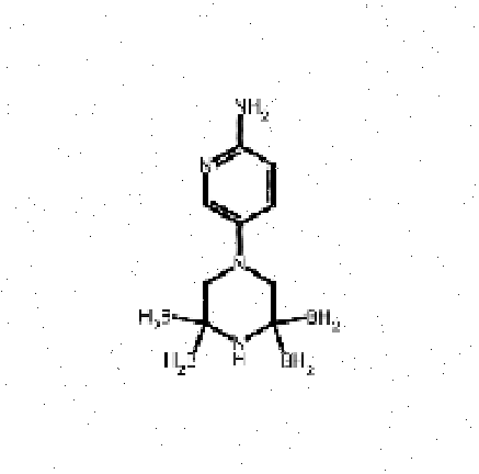 BC1(B)CN(c2ccc(N)nc2)CC(B)(B)N1